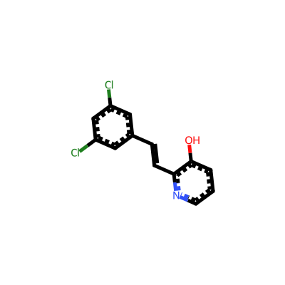 Oc1cccnc1C=Cc1cc(Cl)cc(Cl)c1